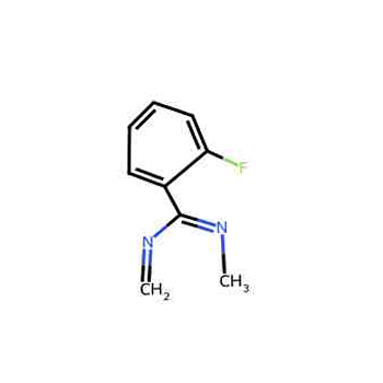 C=N/C(=N\C)c1ccccc1F